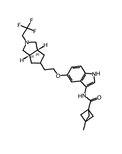 CC12CC(C(=O)Nc3c[nH]c4ccc(OCCC5C[C@@H]6CN(CC(F)(F)F)C[C@@H]6C5)cc34)(C1)C2